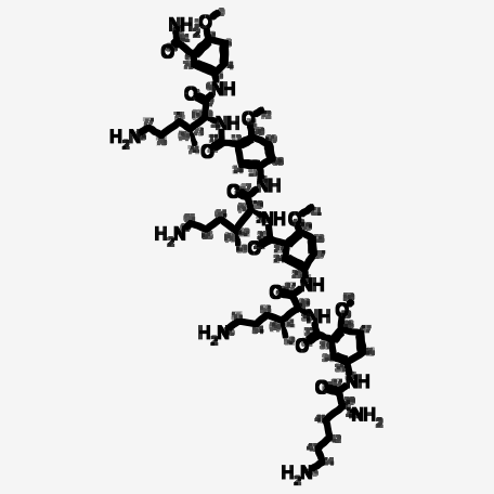 COc1ccc(NC(=O)[C@@H](NC(=O)c2cc(NC(=O)[C@@H](NC(=O)c3cc(NC(=O)[C@@H](NC(=O)c4cc(NC(=O)[C@H](N)CCCCN)ccc4OC)[C@@H](C)CCCN)ccc3OC)[C@@H](C)CCCN)ccc2OC)[C@@H](C)CCCN)cc1C(N)=O